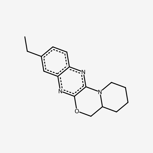 CCc1ccc2nc3c(nc2c1)OCC1CCCCN31